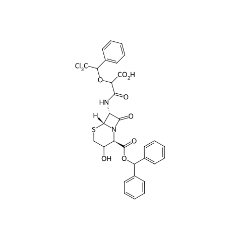 O=C(O)C(OC(c1ccccc1)C(Cl)(Cl)Cl)C(=O)N[C@@H]1C(=O)N2[C@@H]1SCC(O)[C@@H]2C(=O)OC(c1ccccc1)c1ccccc1